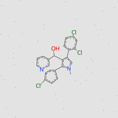 Cn1cc(-c2ccc(Cl)cc2Cl)c(C(O)c2cccnc2)c1-c1ccc(Cl)cc1